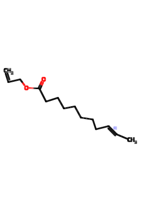 C=CCOC(=O)CCCCCCC/C=C/C